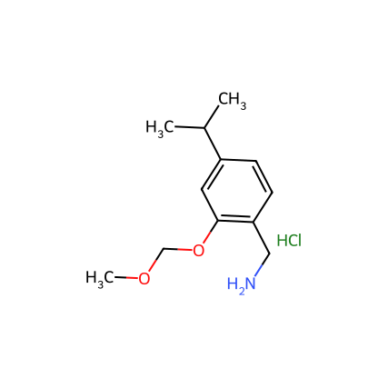 COCOc1cc(C(C)C)ccc1CN.Cl